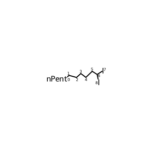 CCCCCCCCCCC(I)I